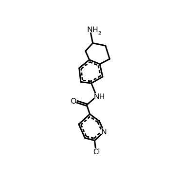 NC1CCc2cc(NC(=O)c3ccc(Cl)nc3)ccc2C1